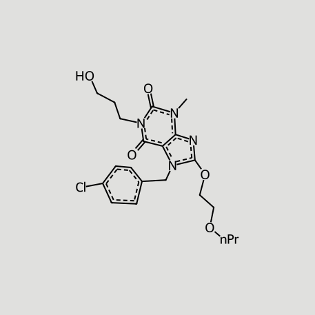 CCCOCCOc1nc2c(c(=O)n(CCCO)c(=O)n2C)n1Cc1ccc(Cl)cc1